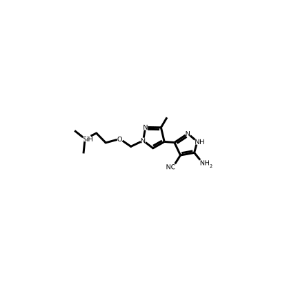 Cc1nn(COCC[SiH](C)C)cc1-c1n[nH]c(N)c1C#N